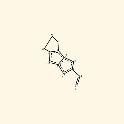 O=Cc1cn2c3c(sc2n1)CCC3